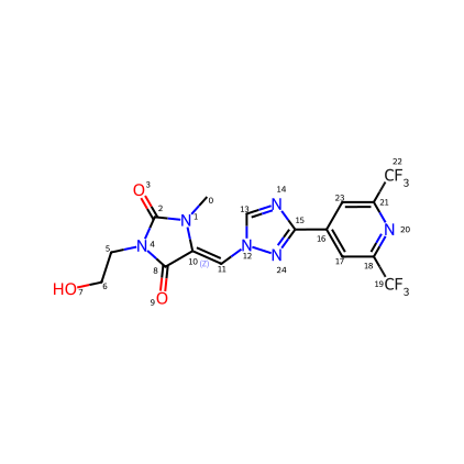 CN1C(=O)N(CCO)C(=O)/C1=C/n1cnc(-c2cc(C(F)(F)F)nc(C(F)(F)F)c2)n1